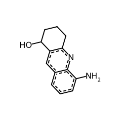 Nc1cccc2cc3c(nc12)CCCC3O